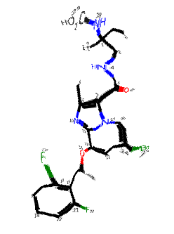 CCC(C)(CNC(=O)c1c(C)nc2c(OCc3c(F)cccc3F)cc(Br)cn12)NC(=O)O